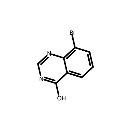 Oc1ncnc2c(Br)cccc12